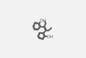 CCC(=C(CC)c1ccccc1O)c1ccccc1O